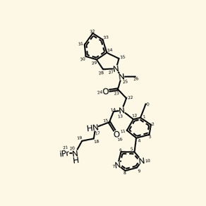 Cc1ccc(-c2cnccn2)cc1N(CC(=O)NCCNC(C)C)CC(=O)N(C)N1Cc2ccccc2C1